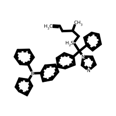 C=CCC(C)C[SiH2]C(c1ccccc1)(c1ccccc1)n1ccnc1.c1ccc(B(c2ccccc2)c2ccccc2)cc1